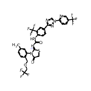 Cc1ccc(COCC(F)(F)F)c(N2C(=O)CS/C2=N\C(=O)Nc2ccc(-c3ncn(-c4ccc(C(F)(F)F)cn4)n3)cc2C(F)(F)F)c1